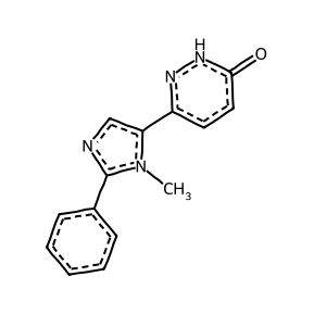 Cn1c(-c2ccc(=O)[nH]n2)cnc1-c1ccccc1